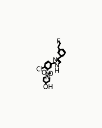 O=S(=O)(c1cc(-c2nc(-c3cccc(CCF)c3)c[nH]2)ccc1Cl)N1CCC(O)CC1